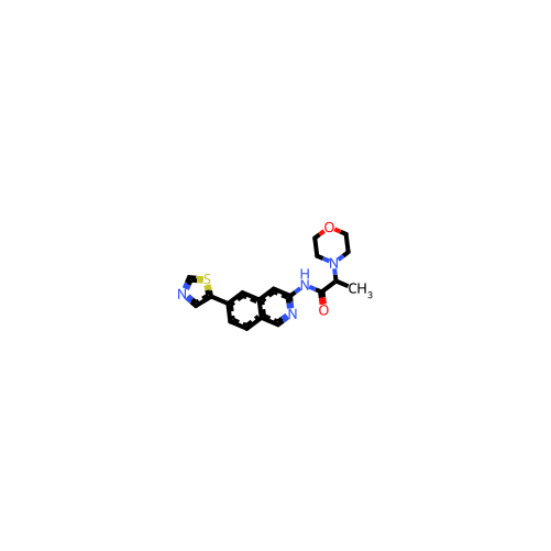 CC(C(=O)Nc1cc2cc(-c3cncs3)ccc2cn1)N1CCOCC1